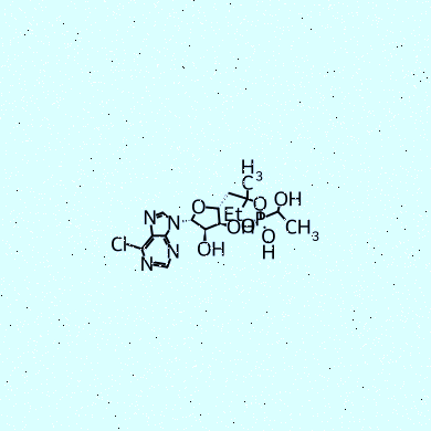 CCC(C)(C[C@H]1O[C@@H](n2cnc3c(Cl)ncnc32)[C@H](O)[C@@H]1O)OP(=O)(O)C(C)O